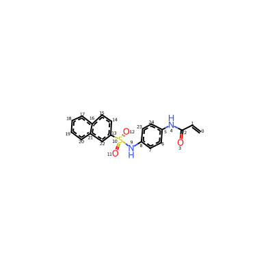 C=CC(=O)Nc1ccc(NS(=O)(=O)c2ccc3ccccc3c2)cc1